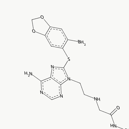 Bc1cc2c(cc1Sc1nc3c(N)ncnc3n1CCNCC(=O)NO)OCO2